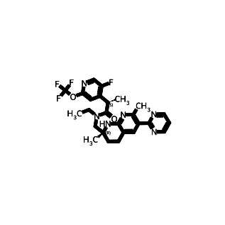 CCN(C[C@@]1(C)CCc2cc(-c3ncccn3)c(C)nc2N1)C(=O)[C@@H](C)c1cc(OC(F)(F)F)ncc1F